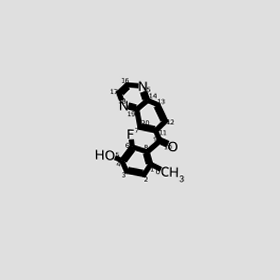 Cc1ccc(O)c(F)c1C(=O)c1ccc2nccnc2c1